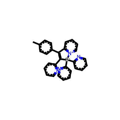 Cc1ccc(C2=C(c3ccccn3)[B-](c3ccccn3)(c3ccccn3)[n+]3ccccc32)cc1